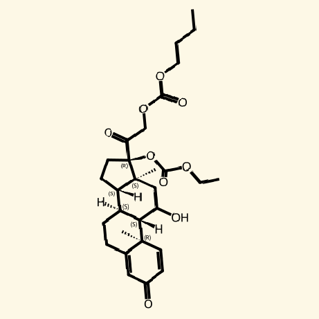 CCCCOC(=O)OCC(=O)[C@@]1(OC(=O)OCC)CC[C@H]2[C@@H]3CCC4=CC(=O)C=C[C@]4(C)[C@H]3C(O)C[C@@]21C